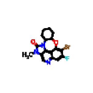 Cn1c(=O)n2c3c4c(c(Br)c(F)cc4ncc31)OC1CCCCC12